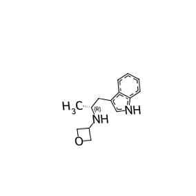 C[C@H](Cc1c[nH]c2ccccc12)NC1COC1